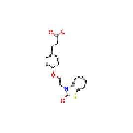 O=C(O)CCc1ccc(OCCn2c(=O)sc3ccccc32)cc1